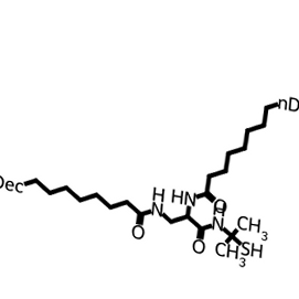 CCCCCCCCCCCCCCCCCC(=O)NCC(NC(=O)CCCCCCCCCCCCCCCCC)C(=O)NC(C)(C)S